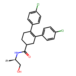 CC(C)[C@H](CO)NC(=O)C1CCC(c2ccc(Cl)cc2)=C(c2ccc(Cl)cc2)C1